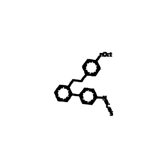 CCCCCCCCc1ccc(CCc2ccccc2-c2ccc(N=C=S)cc2)cc1